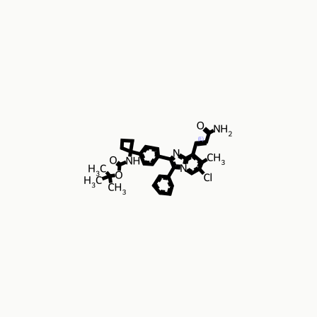 Cc1c(Cl)cn2c(-c3ccccc3)c(-c3ccc(C4(NC(=O)OC(C)(C)C)CCC4)cc3)nc2c1/C=C/C(N)=O